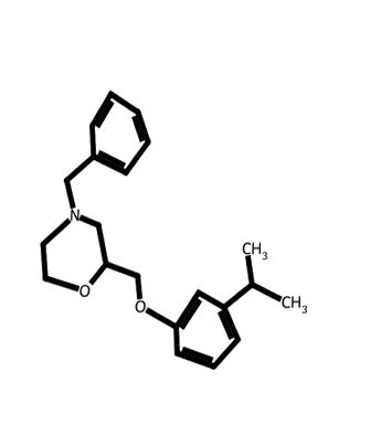 CC(C)c1cccc(OCC2CN(Cc3ccccc3)CCO2)c1